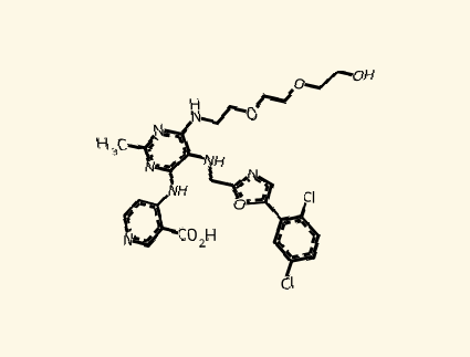 Cc1nc(NCCOCCOCCO)c(NCc2ncc(-c3cc(Cl)ccc3Cl)o2)c(Nc2ccncc2C(=O)O)n1